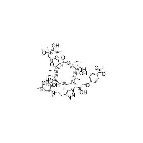 CC[C@H]1OC(=O)[C@H](C)[C@@H](O[C@H]2C[C@@](C)(OC)[C@@H](O)[C@H](C)O2)[C@H](C)[C@@H](O[C@@H]2O[C@H](C)C[C@H](N(C)CCc3cn(C[C@H](O)COc4ccc(S(C)(=O)=O)cc4)nn3)[C@H]2O)[C@](C)(O)C[C@@H](C)CN(C)[C@H](C)[C@@H](O)[C@]1(C)O